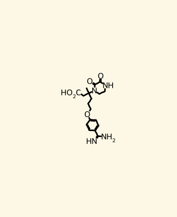 CC(CCCOc1ccc(C(=N)N)cc1)(CC(=O)O)N1CCNC(=O)C1=O